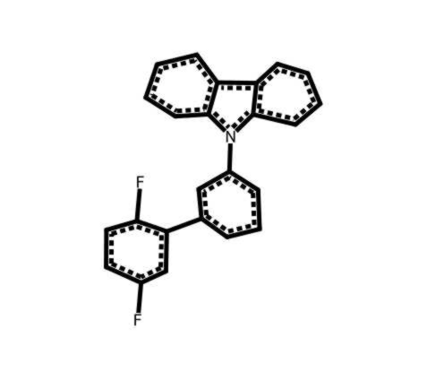 Fc1ccc(F)c(-c2cccc(-n3c4ccccc4c4ccccc43)c2)c1